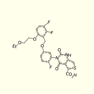 CCOCCOc1ccc(F)c(F)c1COc1ccc(F)c(-n2c(=O)[nH]c3csc(C(=O)O)c3c2=O)c1